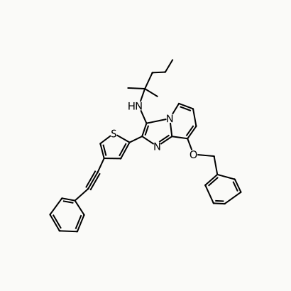 CCCC(C)(C)Nc1c(-c2cc(C#Cc3ccccc3)cs2)nc2c(OCc3ccccc3)cccn12